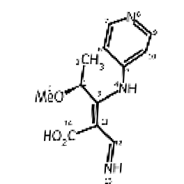 CO[C@@H](C)/C(Nc1ccncc1)=C(/C=N)C(=O)O